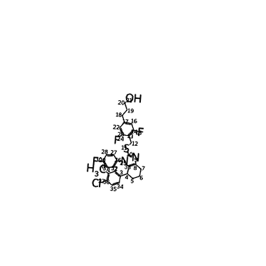 Cc1cc(C2CCCc3nc(SCc4c(F)cc(CCCO)cc4F)n(-c4ccc(F)cc4)c32)ccc1Cl